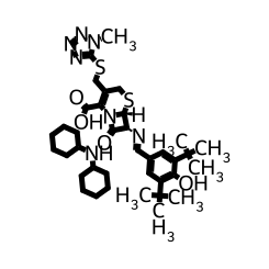 C1CCC(NC2CCCCC2)CC1.Cn1nnnc1SCC1=C(C(=O)O)N2C(=O)[C@@H](/N=C/c3cc(C(C)(C)C)c(O)c(C(C)(C)C)c3)[C@H]2SC1